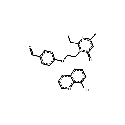 CCc1nc(C)cc(=O)n1CCOc1ccc(C=O)cc1.Oc1cccc2cccnc12